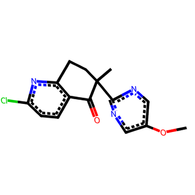 COc1cnc(C2(C)CCc3nc(Cl)ccc3C2=O)nc1